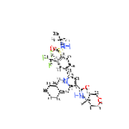 Cc1c(C(=O)NC2(C)CCOCC2)cc(-c2ccc([S+]([O-])NC(C)(C)C)c(C(F)(F)F)c2)n1CC1CCCCC1